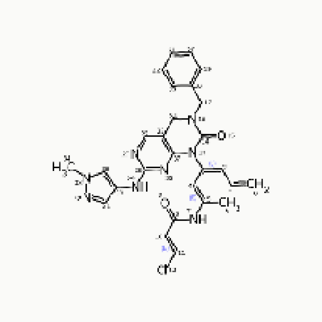 C=C/C=C(\C=C(/C)NC(=O)/C=C/Cl)N1C(=O)N(Cc2ccccc2)Cc2cnc(Nc3cnn(C)c3)nc21